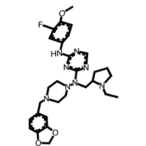 CCN1CCCC1CN(c1ncnc(Nc2ccc(OC)c(F)c2)n1)N1CCN(Cc2ccc3c(c2)OCO3)CC1